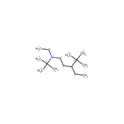 CCC(CCN(CC)C(C)(C)C)C(C)(C)C